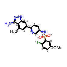 COc1ccc(F)c(S(=O)(=O)Nc2ccc(-c3cc(C)c4c(N)n[nH]c4c3)nc2)c1